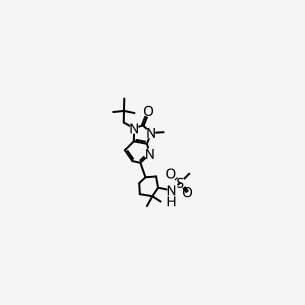 Cn1c(=O)n(CC(C)(C)C)c2ccc(C3CCC(C)(C)C(NS(C)(=O)=O)C3)nc21